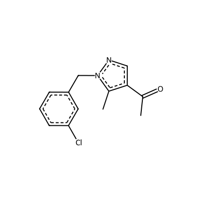 CC(=O)c1cnn(Cc2cccc(Cl)c2)c1C